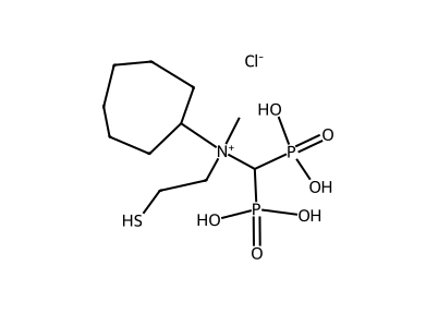 C[N+](CCS)(C1CCCCCC1)C(P(=O)(O)O)P(=O)(O)O.[Cl-]